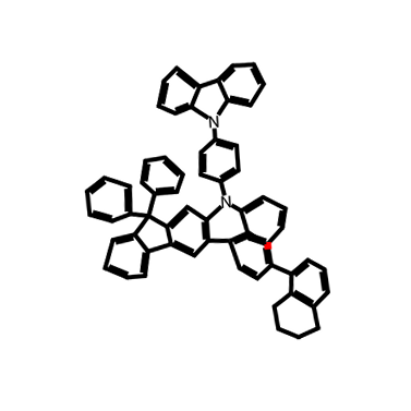 c1ccc(N(c2ccc(-n3c4ccccc4c4ccccc43)cc2)c2cc3c(cc2-c2ccc(-c4cccc5c4CCCC5)cc2)-c2ccccc2C3(c2ccccc2)c2ccccc2)cc1